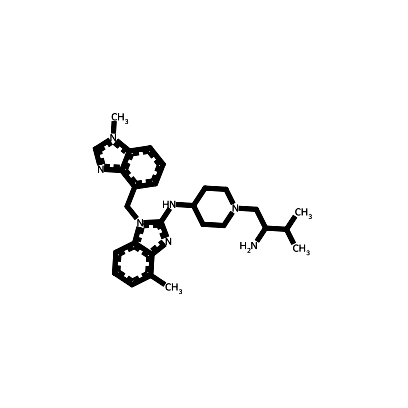 Cc1cccc2c1nc(NC1CCN(CC(N)C(C)C)CC1)n2Cc1cccc2c1ncn2C